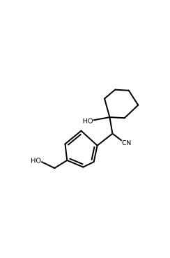 N#CC(c1ccc(CO)cc1)C1(O)CCCCC1